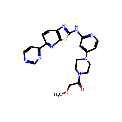 COCC(=O)N1CCN(c2ccnc(Nc3nc4ccc(-c5ccncn5)nc4s3)c2)CC1